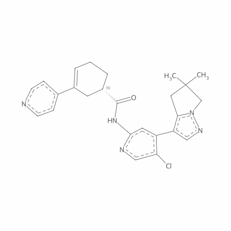 CC1(C)Cc2c(-c3cc(NC(=O)[C@H]4CCC=C(c5ccncc5)C4)ncc3Cl)cnn2C1